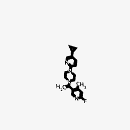 C=C(c1cnc(F)cc1C)N1CCN(c2ccc(C3CC3)cn2)CC1